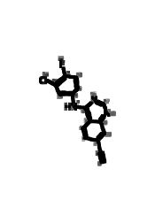 C#Cc1ccc2c(Nc3ccc(F)c(Cl)c3)ncnc2c1